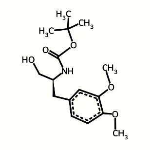 COc1ccc(C[C@@H](CO)NC(=O)OC(C)(C)C)cc1OC